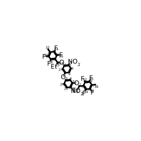 CCC(Oc1cc(Oc2ccc([N+](=O)[O-])c(OC(CC)c3c(F)c(F)c(C)c(F)c3F)c2)ccc1[N+](=O)[O-])c1c(F)c(F)c(C)c(F)c1F